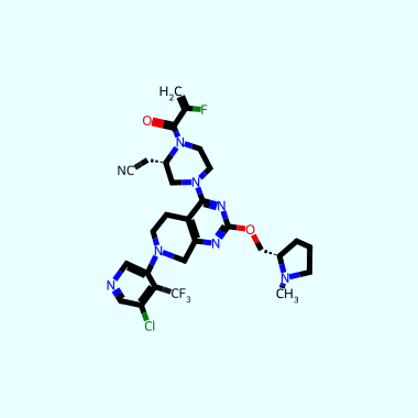 C=C(F)C(=O)N1CCN(c2nc(OC[C@@H]3CCCN3C)nc3c2CCN(c2cncc(Cl)c2C(F)(F)F)C3)C[C@@H]1CC#N